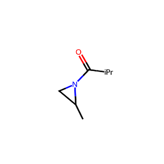 CC(C)C(=O)N1CC1C